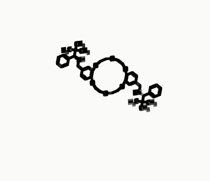 CC(C)(C)[C@H](NCc1ccc2c(c1)OCCOCCOc1ccc(CN[C@@H](c3ccccc3)C(C)(C)C)cc1OCCOCCO2)c1ccccc1